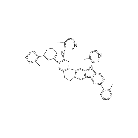 Cc1ccccc1C1=Cc2c(n(-c3cnccc3C)c3cc4c(cc23)CCc2cc3c5cc(-c6ccccc6C)ccc5n(-c5cnccc5C)c3cc2-4)CC1